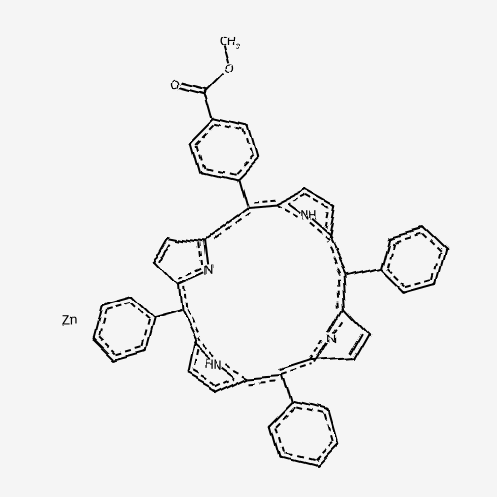 COC(=O)c1ccc(-c2c3nc(c(-c4ccccc4)c4ccc([nH]4)c(-c4ccccc4)c4nc(c(-c5ccccc5)c5ccc2[nH]5)C=C4)C=C3)cc1.[Zn]